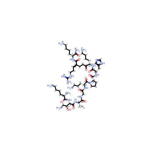 C[C@H](NC(=O)[C@@H](NC(=O)[C@@H](N)CCCCN)[C@@H](O)CN)C(=O)NCC(=O)N[C@H](CCCN)C(=O)N1CCC[C@H]1C(=O)N[C@@H](Cc1cnc[nH]1)C(=O)N[C@@H](CCCCN)C(=O)CC/C(=C\CCNC(=N)N)C(=O)N[C@@H](CCCCN)C(N)=O